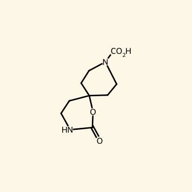 O=C1NCCC2(CCN(C(=O)O)CC2)O1